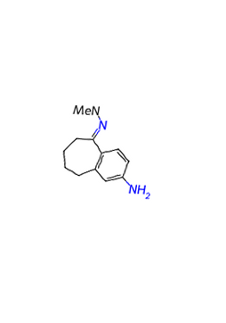 CN/N=C1\CCCCc2cc(N)ccc21